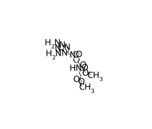 CCOC(=O)CC[C@@H](NC(=O)c1ccc2c(c1)OCCN2Cc1cnc2nc(N)nc(N)c2n1)C(=O)OCC